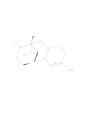 CN1CC[C@]23CCCCC2(O)[C@H]1Cc1ccc(O)cc13